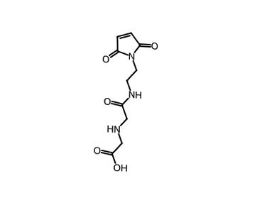 O=C(O)CNCC(=O)NCCN1C(=O)C=CC1=O